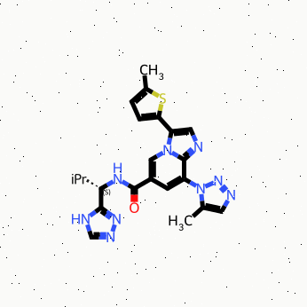 Cc1ccc(-c2cnc3c(-n4nncc4C)cc(C(=O)N[C@H](c4nnc[nH]4)C(C)C)cn23)s1